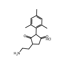 Cc1cc(C)c(C2C(=O)CC(CCN)C2=O)c(C)c1.Cl